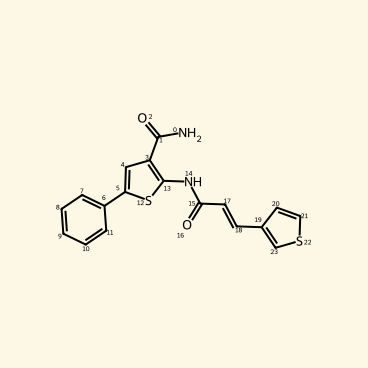 NC(=O)c1cc(-c2ccccc2)sc1NC(=O)C=Cc1ccsc1